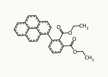 CCOC(=O)c1cccc(-c2ccc3ccc4cccc5ccc2c3c45)c1C(=O)OCC